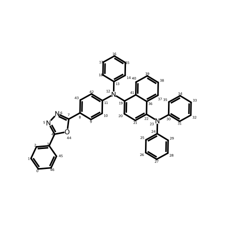 c1ccc(-c2nnc(-c3ccc(N(c4ccccc4)c4ccc(N(c5ccccc5)c5ccccc5)c5ccccc45)cc3)o2)cc1